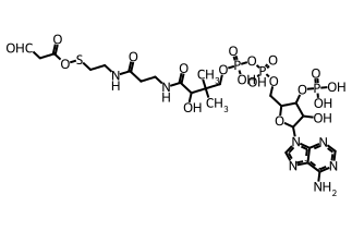 CC(C)(COP(=O)(O)OP(=O)(O)OCC1OC(n2cnc3c(N)ncnc32)C(O)C1OP(=O)(O)O)C(O)C(=O)NCCC(=O)NCCSOC(=O)CC=O